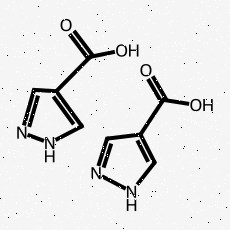 O=C(O)c1cn[nH]c1.O=C(O)c1cn[nH]c1